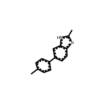 Cc1ccc(-c2ccc3nc(C)[nH]c3c2)cc1